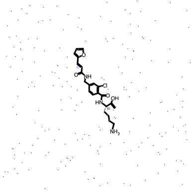 C=C(O)[C@H](CCCCN)NC(=O)c1ccc(CNC(=O)/C=C/c2ccco2)cc1Cl